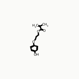 C=C(C)C(=O)OCCCOc1ccc(O)cc1